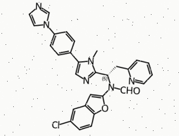 Cn1c(-c2ccc(-n3ccnc3)cc2)cnc1[C@H](Cc1ccccn1)N(C=O)c1cc2cc(Cl)ccc2o1